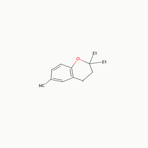 CCC1(CC)C[C]c2cc(C#N)ccc2O1